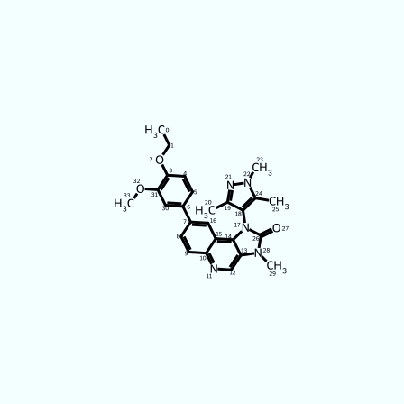 CCOc1ccc(-c2ccc3ncc4c(c3c2)n(-c2c(C)nn(C)c2C)c(=O)n4C)cc1OC